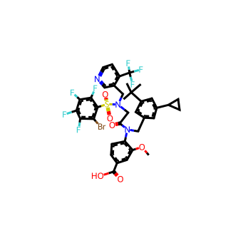 COc1cc(C(=O)O)ccc1N(Cc1cc(C2CC2)cc(C(C)(C)C)c1)C(=O)CN(Cc1cnccc1C(F)(F)F)S(=O)(=O)c1c(F)c(F)c(F)c(F)c1Br